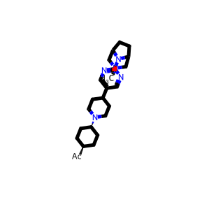 CC(=O)[C@H]1CC[C@H](N2CCC(c3cnc(N4C5CCC4CN(C)C5)nc3)CC2)CC1